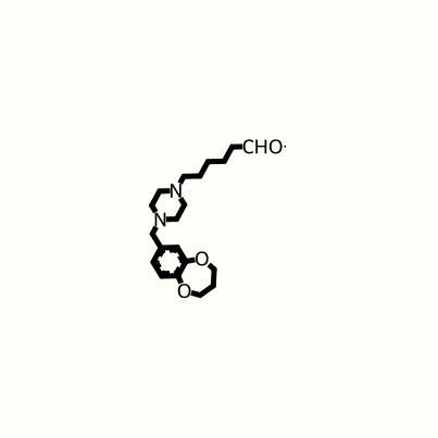 O=[C]CCCCCN1CCN(Cc2ccc3c(c2)OCCCO3)CC1